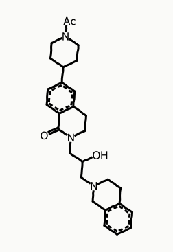 CC(=O)N1CCC(c2ccc3c(c2)CCN(CC(O)CN2CCc4ccccc4C2)C3=O)CC1